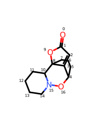 O=C1C=C2C3CCCC2(O1)C1CCCCN1O3